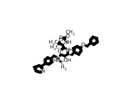 CNN(Cc1ccc(-c2ccccn2)cc1)C[C@H](O)[C@H](Cc1ccc(OCc2ccccc2)cc1)NC(=O)[C@@H](NC(=O)OC)C(C)(C)C